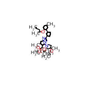 C=CCOC1(C)CCN(c2c([C@H](OC(C)(C)C)C(=O)OC)c(C)cc3nc(-c4cccc(-c5cc(C)ccc5O[C@@H](C)CC=C)c4)cn23)CC1